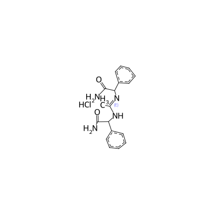 C/C(=N\C(C(N)=O)c1ccccc1)NC(C(N)=O)c1ccccc1.Cl